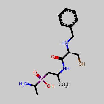 CC(N)P(=O)(O)CC(NC(=O)[C@H](CS)NCc1ccccc1)C(=O)O